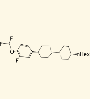 CCCCCC[C@H]1CC[C@H]([C@H]2CC[C@H](c3ccc(OC(F)F)c(F)c3)CC2)CC1